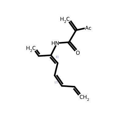 C=C/C=C\C=C(/C=C)NC(=O)C(=C)C(C)=O